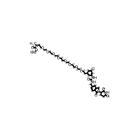 CN(CCOCCOCCOCCOCCOCCOCCOCCOCCc1cc(Cl)cc(NC(=O)NCc2ccc3c(c2)CN(C2CCC(=O)NC2=O)C3=O)c1)C(=O)OC(C)(C)C